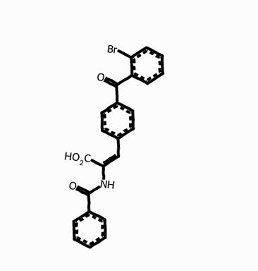 O=C(O)/C(=C\c1ccc(C(=O)c2ccccc2Br)cc1)NC(=O)c1ccccc1